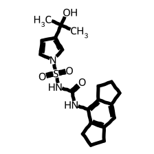 CC(C)(O)c1ccn(S(=O)(=O)NC(=O)Nc2c3c(cc4c2CCC4)CCC3)c1